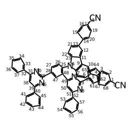 N#Cc1ccc(-c2ccc3c(c2)c2cc(-c4ccc(C#N)cc4)ccc2n3-c2ccc(-c3nc(-c4ccccc4)cc(-c4ccccc4)n3)cc2-c2cc(-c3ccccc3)nc(-c3ccccc3)n2)cc1